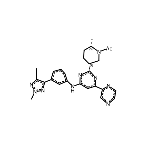 CC(=O)N1C[C@H](c2nc(Nc3cccc(-c4nn(C)nc4C)c3)cc(-c3cnccn3)n2)CC[C@@H]1C